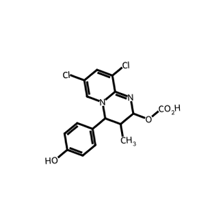 CC1C(OC(=O)O)N=C2C(Cl)=CC(Cl)=CN2C1c1ccc(O)cc1